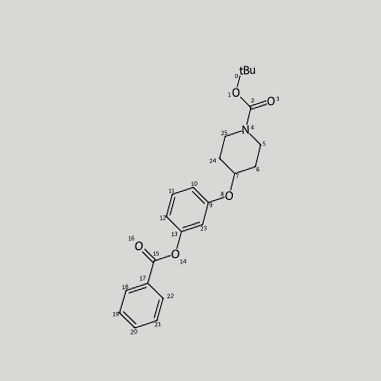 CC(C)(C)OC(=O)N1CCC(Oc2cccc(OC(=O)c3ccccc3)c2)CC1